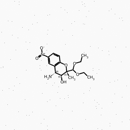 CCOC(OCC)[C@@]1(C)Oc2ccc([N+](=O)[O-])cc2[C@@H](N)[C@@H]1O